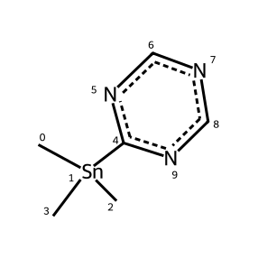 [CH3][Sn]([CH3])([CH3])[c]1ncncn1